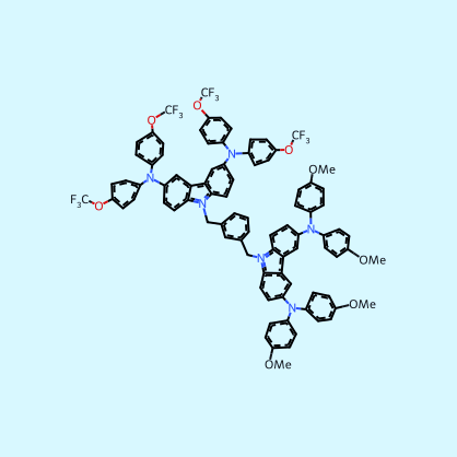 COc1ccc(N(c2ccc(OC)cc2)c2ccc3c(c2)c2cc(N(c4ccc(OC)cc4)c4ccc(OC)cc4)ccc2n3Cc2cccc(Cn3c4ccc(N(c5ccc(OC(F)(F)F)cc5)c5ccc(OC(F)(F)F)cc5)cc4c4cc(N(c5ccc(OC(F)(F)F)cc5)c5ccc(OC(F)(F)F)cc5)ccc43)c2)cc1